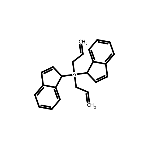 C=C[CH2][Zr]([CH2]C=C)([CH]1C=Cc2ccccc21)[CH]1C=Cc2ccccc21